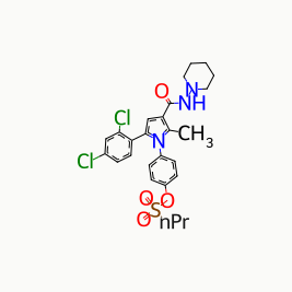 CCCS(=O)(=O)Oc1ccc(-n2c(-c3ccc(Cl)cc3Cl)cc(C(=O)NN3CCCCC3)c2C)cc1